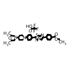 CCOC(=O)c1ccc(-c2cn3nc(-c4ccc(N5CCC(N6CC(C)OC(C)C6)CC5)cc4)sc3n2)cc1.O=C(O)C(F)(F)F